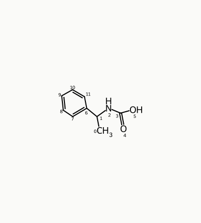 CC(NC(=O)O)c1ccccc1